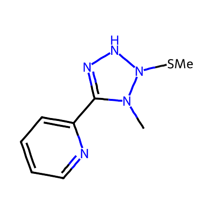 CSN1NN=C(c2ccccn2)N1C